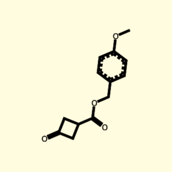 COc1ccc(COC(=O)C2CC(=O)C2)cc1